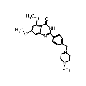 COc1cc(OC)c2c(=O)[nH]c(-c3ccc(CN4CCN(C)CC4)cc3)nc2c1